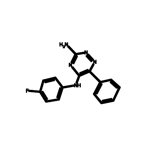 Nc1nnc(-c2ccccc2)c(Nc2ccc(F)cc2)n1